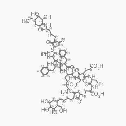 CC(C)CC(NC(=O)C(CCC(=O)O)C(=O)C(CC(=O)O)NC(=O)C(CCCCN)NC(=O)C(Cc1ccccc1)NC(=O)C(Cc1ccccc1)NC(=O)C(CSC1CC(=O)N(CCCCN[C@H]2C(O)C[C@H](CO)[C@@H](O)[C@@H]2O)C1=O)NC(C)C)C(=O)NC(CSC1CC(=O)N(CCCCN2CC(O)C(O)C(O)C2CO)C1=O)C(=O)O